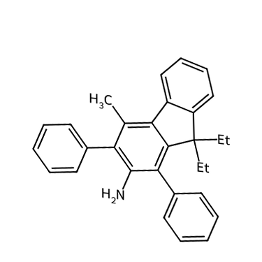 CCC1(CC)c2ccccc2-c2c(C)c(-c3ccccc3)c(N)c(-c3ccccc3)c21